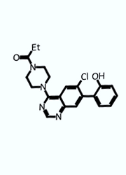 CCC(=O)N1CCN(c2ncnc3cc(-c4ccccc4O)c(Cl)cc23)CC1